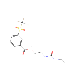 CCOC(=O)CNC(=O)NCCOC(=O)c1cccc(S(=O)(=O)C(Br)(Br)Br)c1